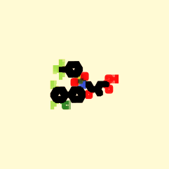 CC(CC(=O)O)C1CN(S(=O)(=O)c2cccc(C(F)(F)F)c2)c2cc(-c3cc(F)cc(F)c3Cl)ccc2O1